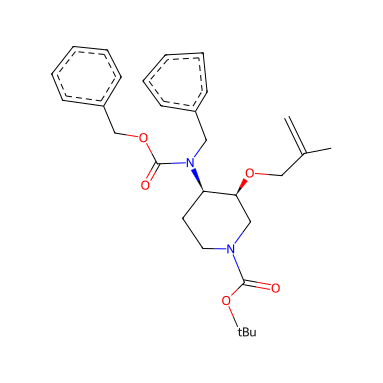 C=C(C)CO[C@H]1CN(C(=O)OC(C)(C)C)CC[C@H]1N(Cc1ccccc1)C(=O)OCc1ccccc1